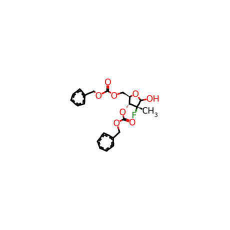 C[C@]1(F)C(O)O[C@H](COC(=O)OCc2ccccc2)[C@H]1OC(=O)OCc1ccccc1